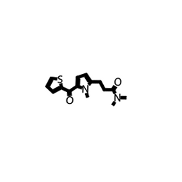 CN(C)C(=O)CCc1ccc(C(=O)c2cccs2)n1C